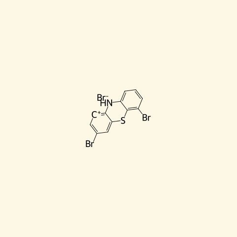 BrC1=C[C+]=C2Nc3cccc(Br)c3SC2=C1.[Br-]